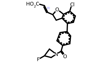 O=C(O)/C=C/C1Cc2c(-c3ccc(C(=O)N4CC(F)C4)cc3)ccc(Cl)c2O1